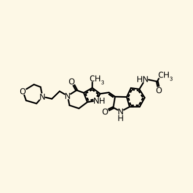 CC(=O)Nc1ccc2c(c1)C(=Cc1[nH]c3c(c1C)C(=O)N(CCN1CCOCC1)CC3)C(=O)N2